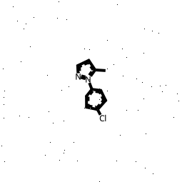 Cc1ccnn1-c1ccc(Cl)cc1